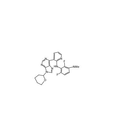 CNc1ccc(F)c(Nc2ncccc2-c2ncnc3c2ncn3C2CCCCO2)c1F